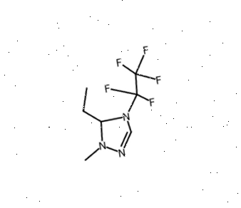 CCC1N(C)N=CN1C(F)(F)C(F)(F)F